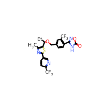 CCC(OCc1ccc(-c2noc(=O)[nH]2)c(C(F)(F)F)c1)c1sc(-c2ccc(C(F)(F)F)nc2)nc1C